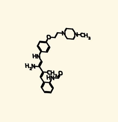 CC(=C\c1ccccc1NC=O)/C(N)=C/Nc1ccc(OCCN2CCN(C)CC2)cc1